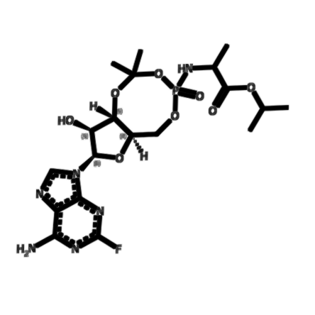 CC(C)OC(=O)C(C)NP1(=O)OC[C@H]2O[C@@H](n3cnc4c(N)nc(F)nc43)[C@@H](O)[C@@H]2OC(C)(C)O1